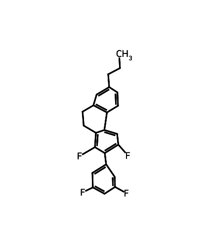 CCCc1ccc2c(c1)CCc1c-2cc(F)c(-c2cc(F)cc(F)c2)c1F